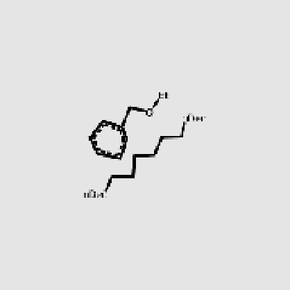 CCCCCCCCCCCCCCCCCCCCCCCCCC.CCOCc1ccccc1